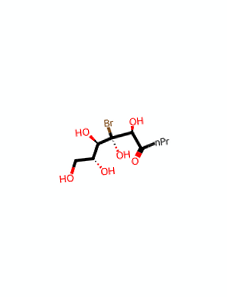 CCCC(=O)[C@H](O)[C@](O)(Br)[C@H](O)[C@H](O)CO